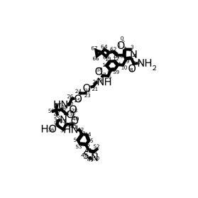 COc1cnc(C(N)=O)c(Cc2cccc(CC(=O)NCCOCCOCC(=O)NC(C(=O)N3CC(O)CC3C(=O)NCc3ccc(-c4scnc4C)cc3)C(C)(C)C)c2)c1C=CC1CC2(CC2)C1